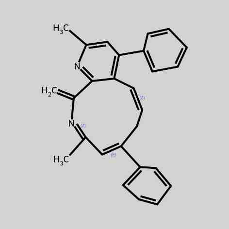 C=C1/N=C(C)\C=C(\c2ccccc2)C/C=C\c2c(-c3ccccc3)cc(C)nc21